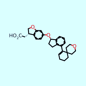 O=C(O)C[C@@H]1COc2cc(O[C@@H]3CCc4c(C5=CCCCC56CCOCC6)cccc43)ccc21